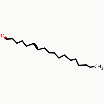 CCCCCCCCCCC/C=C/CCCC[C]=O